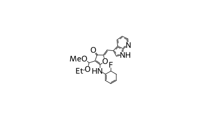 CCOC(OC)C1=C(NC2=CC=CCC2F)O/C(=C\c2c[nH]c3ncccc23)C1=O